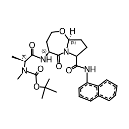 C[C@@H](C(=O)N[C@H]1CCO[C@H]2CCC(C(=O)Nc3cccc4ccccc34)N2C1=O)N(C)C(=O)OC(C)(C)C